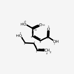 C=CCCO.O=C(O)/C=C\C(=O)O